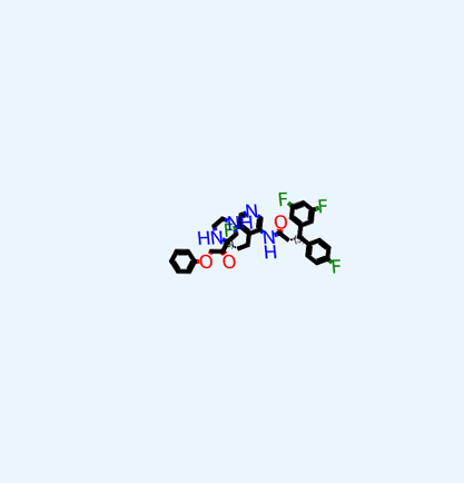 O=C(C[C@@H](c1ccc(F)cc1)c1cc(F)cc(F)c1)Nc1cncc(F)c1CC[C@@]1(C(=O)COc2ccccc2)CNCCN1